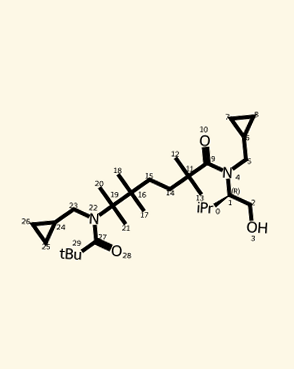 CC(C)[C@H](CO)N(CC1CC1)C(=O)C(C)(C)CCC(C)(C)C(C)(C)N(CC1CC1)C(=O)C(C)(C)C